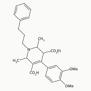 CCOC(=O)C1C(c2ccc(OC)c(OC)c2)=C(C(=O)O)C(C)N(CCCc2ccccc2)C1C